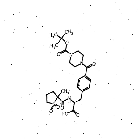 CC(C)(C)OC(=O)N1CCN(C(=O)c2ccc(C[C@H](NC(=O)C3(C)CCCS3(=O)=O)C(=O)O)cc2)CC1